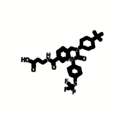 CC(C)(C)C1CCC(N(Cc2ccc(C(=O)NCCC(=O)O)cc2)C(=O)Nc2ccc(SC(F)(F)F)cc2)CC1